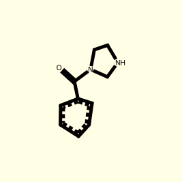 O=C(c1ccccc1)N1CCNC1